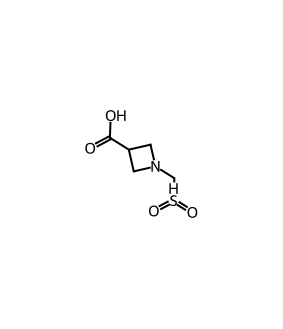 O=C(O)C1CN(C[SH](=O)=O)C1